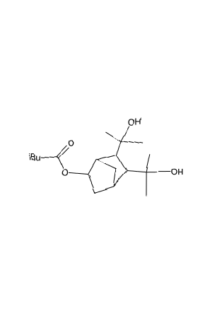 CCC(C)C(=O)OC1CC2CC1C(C(C)(C)O)C2C(C)(C)O